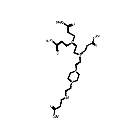 COC(=O)CCNCCN1CCN(CCN(CCC(=O)OC)CCN(CCC(=O)OC)CCC(=O)OC)CC1